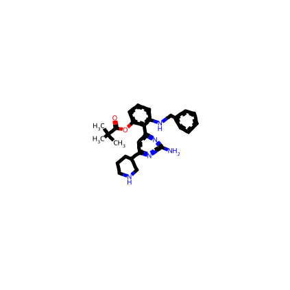 CC(C)(C)C(=O)Oc1cccc(NCc2ccccc2)c1-c1cc(C2CCCNC2)nc(N)n1